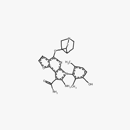 Cc1ccc(O)c(C)c1-n1c(N)c(C(N)=O)c2c3occc3c(OC3CN4CCC3CC4)nc21